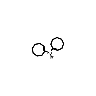 [Br][Rh]([C]1=CCCCCCC1)[C]1=CCCCCCC1